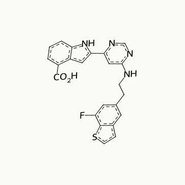 O=C(O)c1cccc2[nH]c(-c3cc(NCCc4cc(F)c5sccc5c4)ncn3)cc12